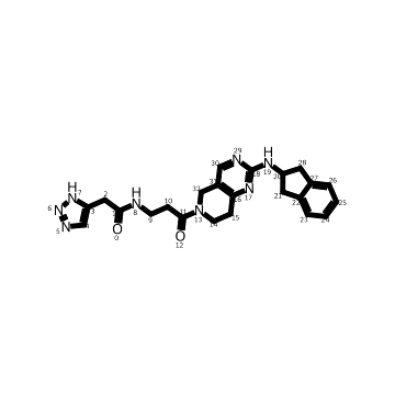 O=C(Cc1cnn[nH]1)NCCC(=O)N1CCc2nc(NC3Cc4ccccc4C3)ncc2C1